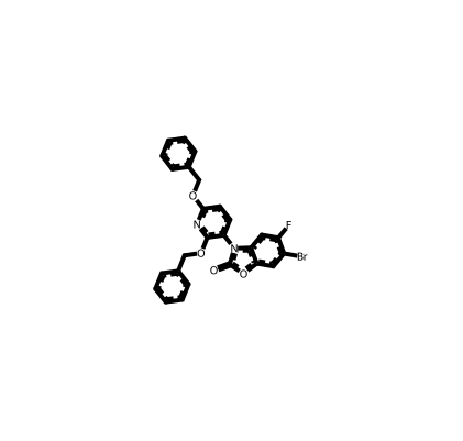 O=c1oc2cc(Br)c(F)cc2n1-c1ccc(OCc2ccccc2)nc1OCc1ccccc1